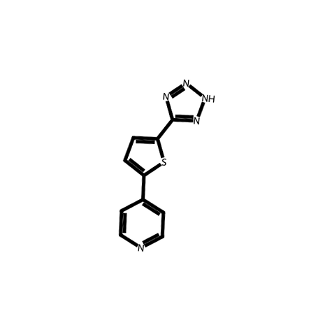 c1cc(-c2ccc(-c3nn[nH]n3)s2)ccn1